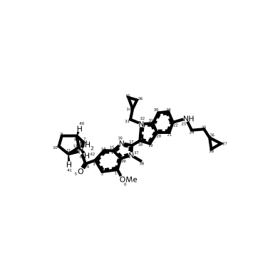 COc1cc(C(=O)N2C[C@H]3CC[C@@H]2[C@H]3N)cc2nc(-c3cc4cc(NCCC5CC5)ccc4n3CC3CC3)n(C)c12